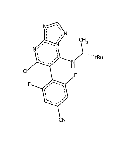 C[C@@H](Nc1c(-c2c(F)cc(C#N)cc2F)c(Cl)nc2ncnn12)C(C)(C)C